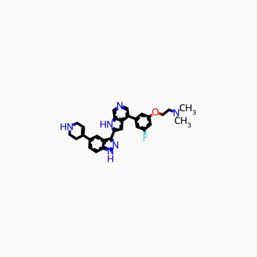 CN(C)CCOc1cc(F)cc(-c2cncc3[nH]c(-c4n[nH]c5ccc(C6=CCNCC6)cc45)cc23)c1